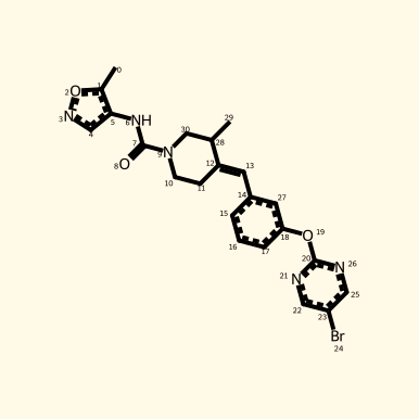 Cc1oncc1NC(=O)N1CCC(=Cc2cccc(Oc3ncc(Br)cn3)c2)C(C)C1